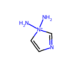 N[N+]1(N)C=CN=C1